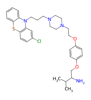 CC(C)C(N)COc1ccc(OCCN2CCN(CCCN3c4ccccc4Sc4ccc(Cl)cc43)CC2)cc1